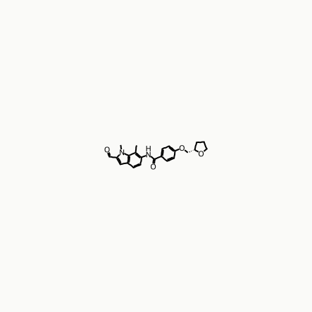 Cc1c(NC(=O)c2ccc(OC[C@@H]3CCCO3)cc2)ccc2cc(C=O)n(C)c12